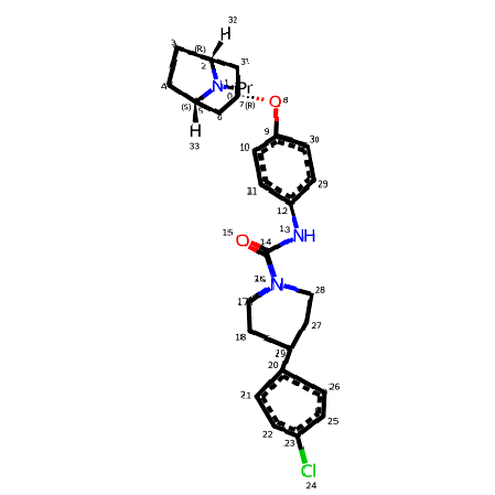 CC(C)N1[C@@H]2CC[C@H]1C[C@@H](Oc1ccc(NC(=O)N3CCC(c4ccc(Cl)cc4)CC3)cc1)C2